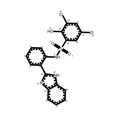 O=S(=O)(Nc1ccccc1-c1nc2ccccc2[nH]1)c1cc(Cl)cc(Cl)c1O